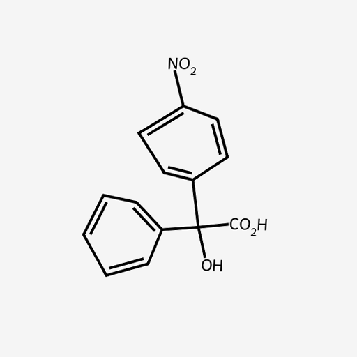 O=C(O)C(O)(c1ccccc1)c1ccc([N+](=O)[O-])cc1